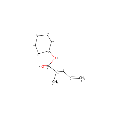 C=CC=C(C)C(=O)OC1CCCCC1